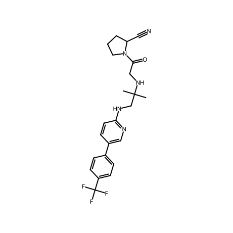 CC(C)(CNc1ccc(-c2ccc(C(F)(F)F)cc2)cn1)NCC(=O)N1CCCC1C#N